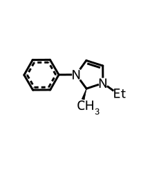 CCN1C=CN(c2ccccc2)[C@@H]1C